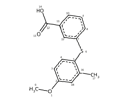 COc1ccc(Sc2cccc(C(=O)O)c2)c(C)c1